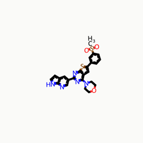 CS(=O)(=O)c1cccc(-c2cc3c(N4CCOCC4)nc(-c4cnc5[nH]ccc5c4)nc3s2)c1